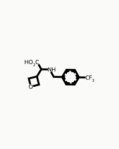 O=C(O)C(NCc1ccc(C(F)(F)F)cc1)C1COC1